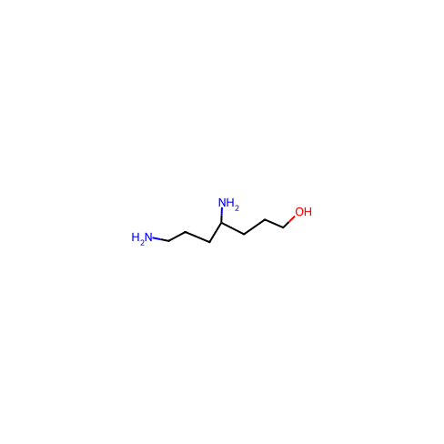 NCCCC(N)CCCO